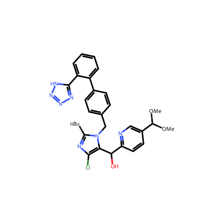 CCCCc1nc(Cl)c(C(O)c2ccc(C(OC)OC)cn2)n1Cc1ccc(-c2ccccc2-c2nnn[nH]2)cc1